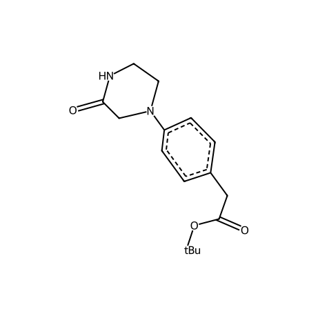 CC(C)(C)OC(=O)Cc1ccc(N2CCNC(=O)C2)cc1